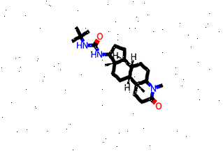 CN1C(=O)CC[C@@]2(C)C1CC[C@@H]1[C@H]2CC[C@]2(C)C(NC(=O)NC(C)(C)C)CC[C@@H]12